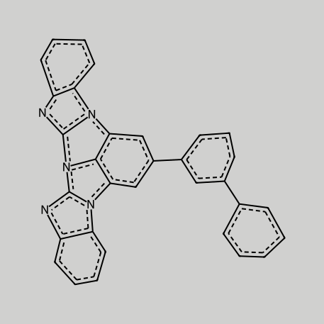 c1ccc(-c2cccc(-c3cc4c5c(c3)n3c6ccccc6nc3n5c3nc5ccccc5n43)c2)cc1